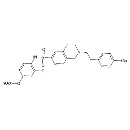 CCCCCCCCOc1ccc(NS(=O)(=O)c2ccc3c(c2)CCN(CCc2ccc(C(C)(C)C)cc2)C3)c(F)c1